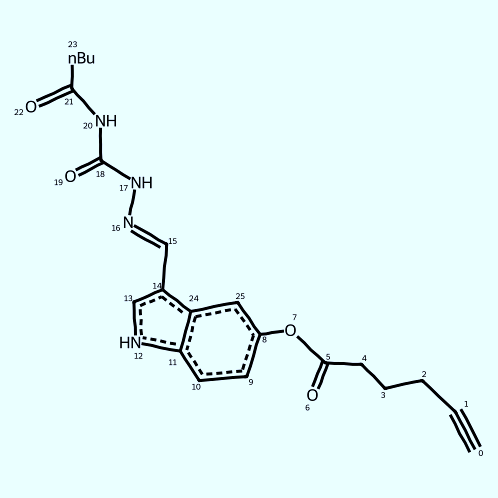 C#CCCCC(=O)Oc1ccc2[nH]cc(C=NNC(=O)NC(=O)CCCC)c2c1